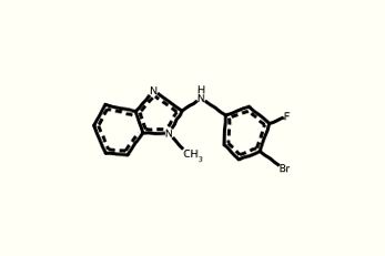 Cn1c(Nc2ccc(Br)c(F)c2)nc2ccccc21